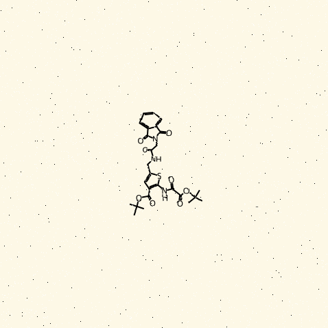 CC(C)(C)OC(=O)C(=O)Nc1sc(CNC(=O)CN2C(=O)c3ccccc3C2=O)cc1C(=O)OC(C)(C)C